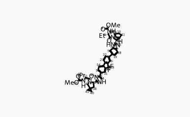 CC[C@H](NC(=O)OC)C(=O)N1[C@@H]2CC[C@@H](C2)[C@H]1c1nc2ccc(-c3ccc4c(c3)C(F)(F)c3cc(-c5c[nH]c([C@@H]6CC7(CC7)CN6C(=O)[C@@H](NC(=O)OC)C(C)C)n5)ccc3-4)cc2[nH]1